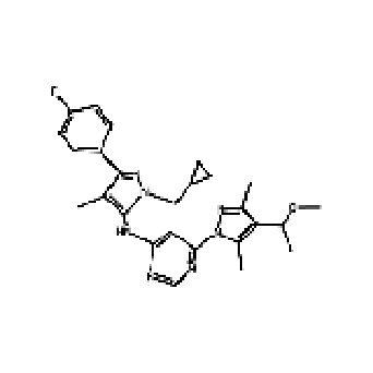 COC(C)c1c(C)nn(-c2cc(Nc3c(C)c(-c4ccc(F)cc4)nn3CC3CC3)ncn2)c1C